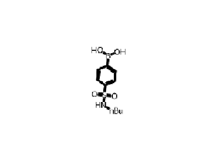 CCCCNS(=O)(=O)c1ccc(B(O)O)cc1